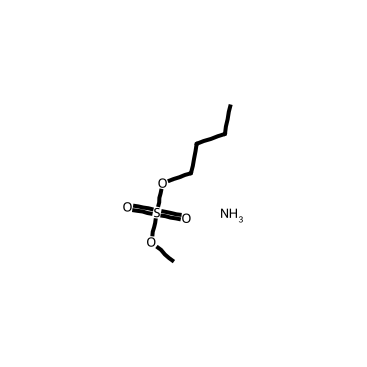 CCCCOS(=O)(=O)OC.N